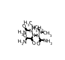 CN(C)N(C(N)=O)N(C(=O)C(N)=O)N(C(N)=O)N(C)C